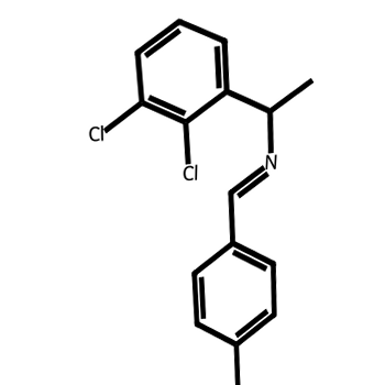 Cc1ccc(C=NC(C)c2cccc(Cl)c2Cl)cc1